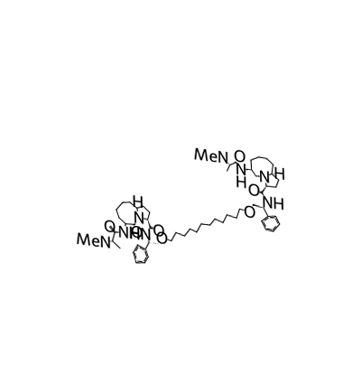 CN[C@@H](C)C(=O)N[C@H]1CCCC[C@H]2CC[C@@H](C(=O)N[C@H](COCCCCCCCCCCCCOC[C@@H](NC(=O)[C@@H]3CC[C@@H]4CCCC[C@H](NC(=O)[C@H](C)NC)C(=O)N43)c3ccccc3)c3ccccc3)N2C1